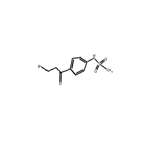 CS(=O)(=O)Nc1ccc(C(=O)CCBr)cc1